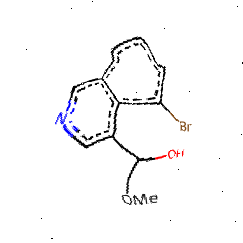 COC(O)c1cncc2cccc(Br)c12